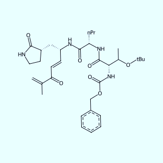 C=C(C)C(=O)/C=C/[C@H](C[C@@H]1CCNC1=O)NC(=O)[C@H](CCC)NC(=O)[C@@H](NC(=O)OCc1ccccc1)C(C)OC(C)(C)C